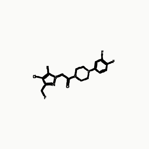 Cc1c(Cl)c(CF)nn1CC(=O)N1CCN(c2ccc(F)c(F)c2)CC1